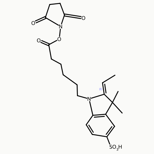 C/C=C1/N(CCCCCC(=O)ON2C(=O)CCC2=O)c2ccc(S(=O)(=O)O)cc2C1(C)C